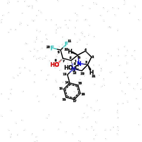 O=C(O)N1[C@@H]2CC[C@H]1[C@@H]([C@H](O)C(F)F)N(Cc1ccccc1)C2